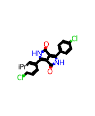 CC(C)/C=C(\C=C/CCl)C1=C2C(=O)NC(c3ccc(Cl)cc3)=C2C(=O)N1